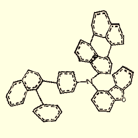 c1ccc(-c2c(-c3ccc(N(c4ccc(-c5cccc6cccc(-c7ccccc7)c56)cc4)c4cccc5oc6ccccc6c45)cc3)ccc3ccccc23)cc1